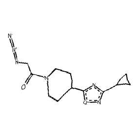 [N-]=[N+]=NCC(=O)N1CCC(c2nc(C3CC3)no2)CC1